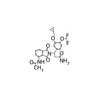 CC(=O)Nc1cccc2c1C(=O)N(C(CC(N)=O)c1ccc(OC(F)F)c(OCC3CC3)c1)C2=O